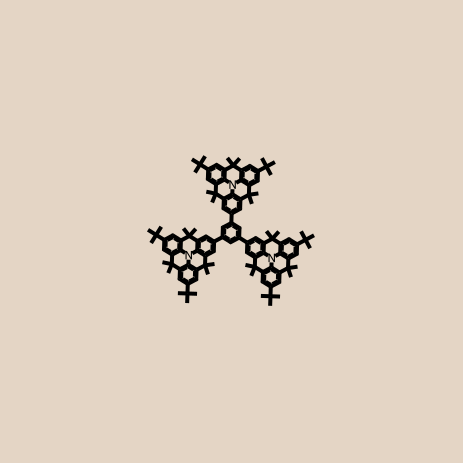 CC(C)(C)c1cc2c3c(c1)C(C)(C)c1cc(C(C)(C)C)cc4c1N3c1c(cc(-c3cc(-c5cc6c7c(c5)C(C)(C)c5cc(C(C)(C)C)cc8c5N7c5c(cc(C(C)(C)C)cc5C8(C)C)C6(C)C)cc(-c5cc6c7c(c5)C(C)(C)c5cc(C(C)(C)C)cc8c5N7c5c(cc(C(C)(C)C)cc5C8(C)C)C6(C)C)c3)cc1C4(C)C)C2(C)C